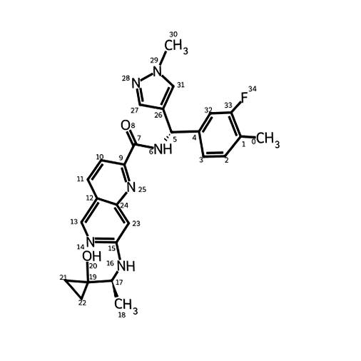 Cc1ccc([C@H](NC(=O)c2ccc3cnc(N[C@@H](C)C4(O)CC4)cc3n2)c2cnn(C)c2)cc1F